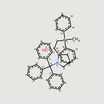 C[Si](C[C@@H](O)C1CCCN1C(c1ccccc1)(c1ccccc1)c1ccccc1)(c1ccccc1)c1ccccc1